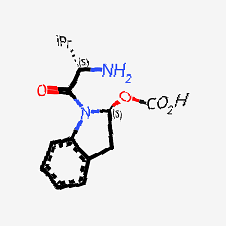 CC(C)[C@H](N)C(=O)N1c2ccccc2C[C@@H]1OC(=O)O